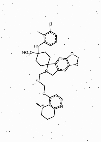 Cc1c(Cl)cccc1NC1(C(=O)O)CCC2(CC1)c1cc3c(cc1CN2C[C@@H](C)COc1ccnc2c1[C@H](C)CCC2)OCO3